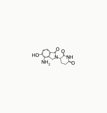 Nc1c(O)ccc2c1CN(C1CCC(=O)NC1=O)C2=O